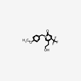 COc1ccc(Cn2cc(CCO)c(C(F)(F)F)cc2=O)cc1